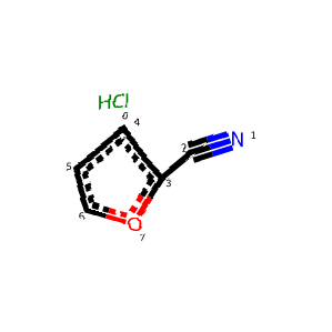 Cl.N#Cc1ccco1